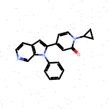 O=c1cc(-c2cc3ccncc3n2-c2ccccc2)ccn1C1CC1